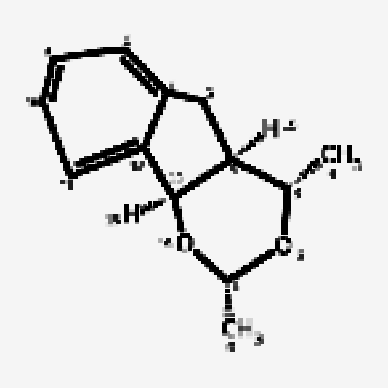 C[C@H]1O[C@@H](C)[C@@H]2Cc3ccccc3[C@@H]2O1